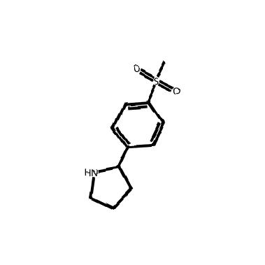 CS(=O)(=O)c1ccc(C2CCCN2)cc1